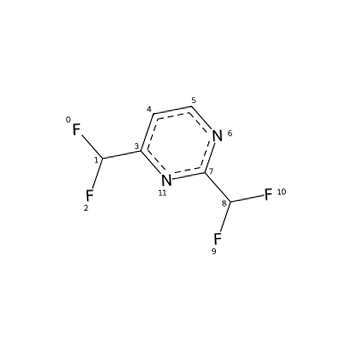 FC(F)c1ccnc(C(F)F)n1